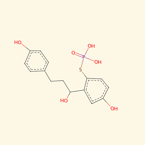 O=P(O)(O)Sc1ccc(O)cc1C(O)CCc1ccc(O)cc1